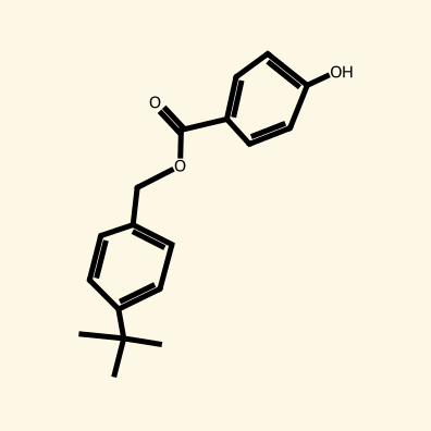 CC(C)(C)c1ccc(COC(=O)c2ccc(O)cc2)cc1